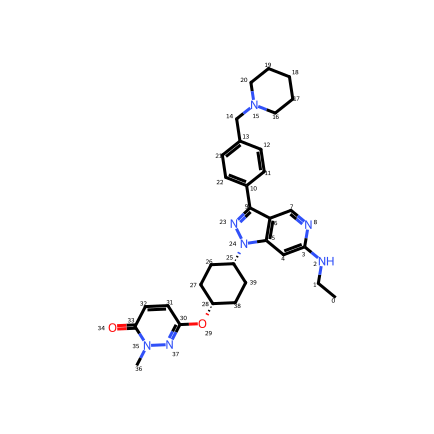 CCNc1cc2c(cn1)c(-c1ccc(CN3CCCCC3)cc1)nn2[C@H]1CC[C@@H](Oc2ccc(=O)n(C)n2)CC1